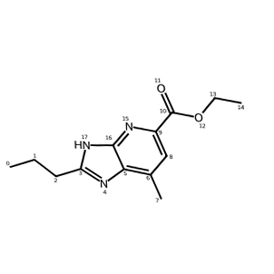 CCCc1nc2c(C)cc(C(=O)OCC)nc2[nH]1